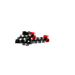 CCCCCCCC(=O)[O-].CCCCCCCC(=O)[O-].CNCc1ccccc1.[Se+2]